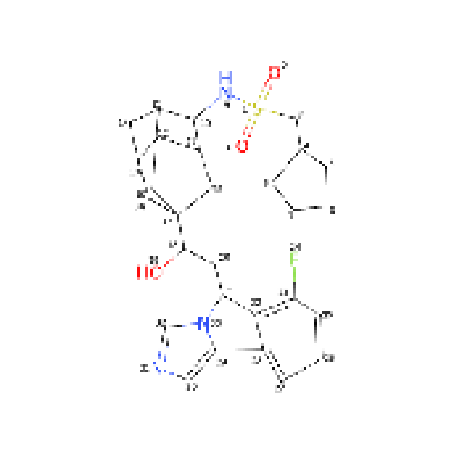 O=S(=O)(CC1CCCC1)NC1C2CC3CC1CC(C(O)CC1c4c(F)cccc4-c4cncn41)(C3)C2